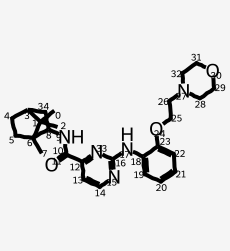 CC1(C)C2CCC1(C)C(NC(=O)c1ccnc(Nc3ccccc3OCCN3CCOCC3)n1)C2